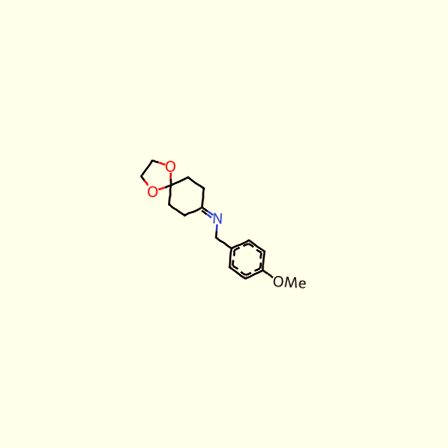 COc1ccc(CN=C2CCC3(CC2)OCCO3)cc1